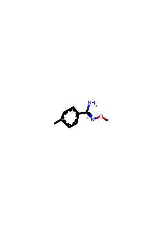 CO/N=C(\N)c1ccc(C)cc1